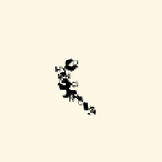 Cc1nn(COCC[Si](C)(C)C)cc1-c1ccn2nc(NC3CCOCC3)nc2c1Cl